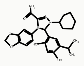 CC(C)c1cc(C2N(c3ccc4c(c3)OCO4)C(C(N)=O)=NN2C2CCCCC2)c(O)cc1O